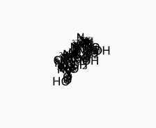 [C-]#[N+]c1cnn(-c2cc(SOOO)cc(S(=O)(=O)O)c2)c1N=Nc1c(C)nn(-c2nc(O)nc(-n3nc(C)c(N=Nc4c(C#N)cnn4-c4cc(SOOO)cc(S(=O)(=O)O)c4)c3N)n2)c1N